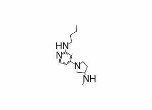 CCCCNc1cc(N2CCC(NC)C2)ccn1